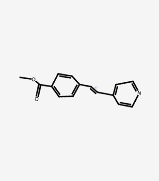 COC(=O)c1ccc(/C=C/c2ccncc2)cc1